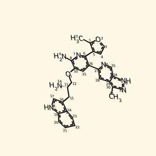 Cc1occc1-c1nc(N)c(OC[C@@H](N)Cc2c[nH]c3ccccc23)cc1-c1cc2c(C)n[nH]c2cn1